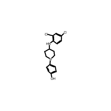 Oc1ccc(N2CCC(Nc3ccc(Cl)cc3Cl)CC2)cc1